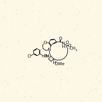 CCCCc1cc(Cl)ccc1[C@@H]1COc2ccc3cc2N(C1)C[C@@H]1CC[C@H]1[C@@H](OC)CCCC[C@@H](C)S(=O)(=O)NC3=O